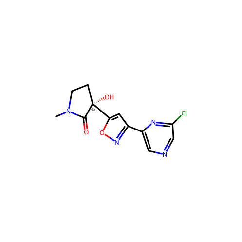 CN1CC[C@@](O)(c2cc(-c3cncc(Cl)n3)no2)C1=O